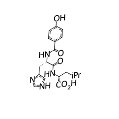 CC(C)C[C@H](NC(=O)[C@H](Cc1c[nH]cn1)NC(=O)c1ccc(O)cc1)C(=O)O